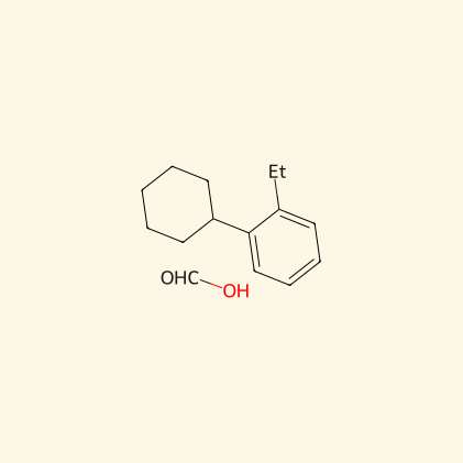 CCc1ccccc1C1CCCCC1.O=CO